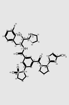 Cc1csc([C@H]2CCCN2C(=O)c2cc(C(=O)N[C@@H](Cc3cccc(F)c3)[C@@H](O)[C@H]3CCCN3)cc(N3CCCS3(=O)=O)c2)n1